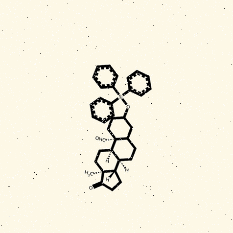 C[C@]12CC[C@@H]3[C@@H](CCC4CC(O[Si](c5ccccc5)(c5ccccc5)c5ccccc5)CC[C@@]43C=O)[C@@H]1CCC2=O